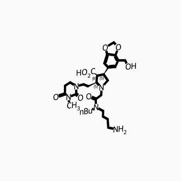 CCCCN(CCCCN)C(=O)CN1C[C@H](c2cc(CO)c3c(c2)OCO3)[C@@H](C(=O)O)[C@@H]1CCN1CCC(=O)N(C)C1=O